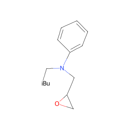 CCC(C)CN(CC1CO1)c1ccccc1